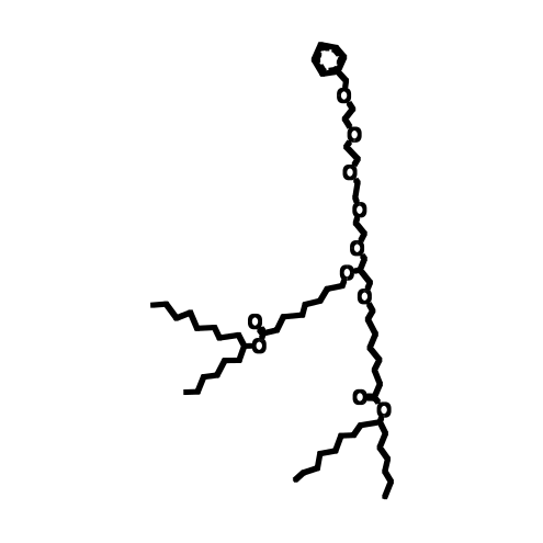 CCCCCCCCC(CCCCCC)OC(=O)CCCCCCCOCC(COCCOCCOCCOCCOCc1ccccc1)OCCCCCCCC(=O)OC(CCCCCC)CCCCCCCC